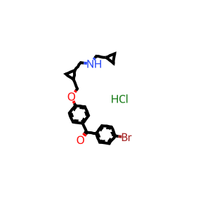 Cl.O=C(c1ccc(Br)cc1)c1ccc(OCC2CC2CNCC2CC2)cc1